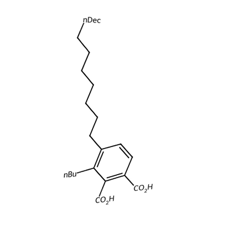 CCCCCCCCCCCCCCCCCc1ccc(C(=O)O)c(C(=O)O)c1CCCC